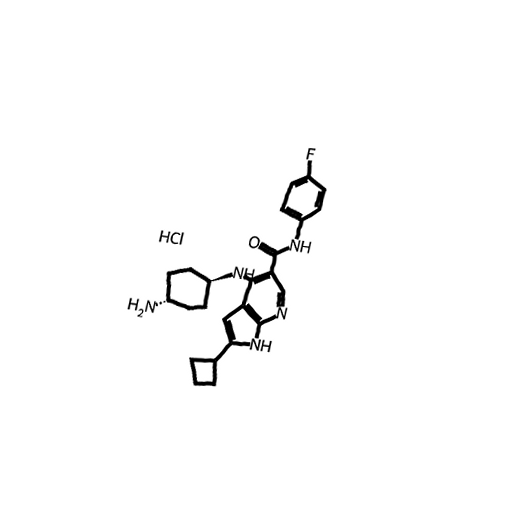 Cl.N[C@H]1CC[C@H](Nc2c(C(=O)Nc3ccc(F)cc3)cnc3[nH]c(C4CCC4)cc23)CC1